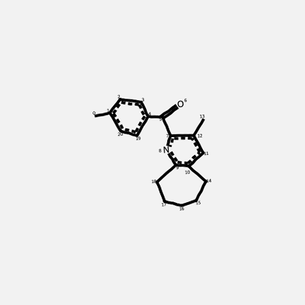 Cc1ccc(C(=O)c2nc3c(cc2C)CCCCC3)cc1